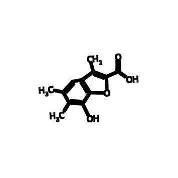 Cc1cc2c(C)c(C(=O)O)oc2c(O)c1C